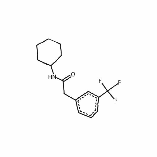 O=C(Cc1cccc(C(F)(F)F)c1)NC1CCCCC1